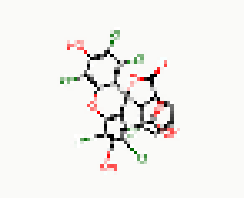 O=C1OC2(c3c(Cl)cccc31)c1c(Cl)c(Cl)c(O)c(Cl)c1Oc1c(Cl)c(O)c(Cl)c(C(=O)O)c12